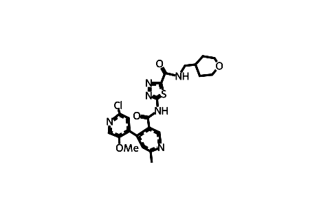 COc1cnc(Cl)cc1-c1cc(C)ncc1C(=O)Nc1nnc(C(=O)NCC2CCOCC2)s1